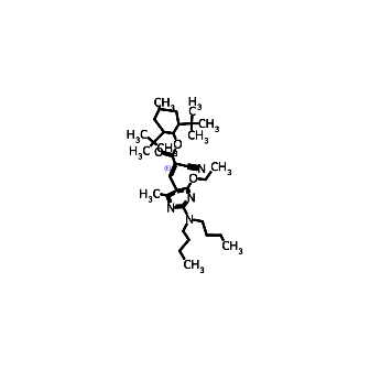 CCCCN(CCCC)c1nc(C)c(/C=C(\C#N)C(=O)OC2C(C(C)(C)C)CC(C)CC2C(C)(C)C)c(OCC)n1